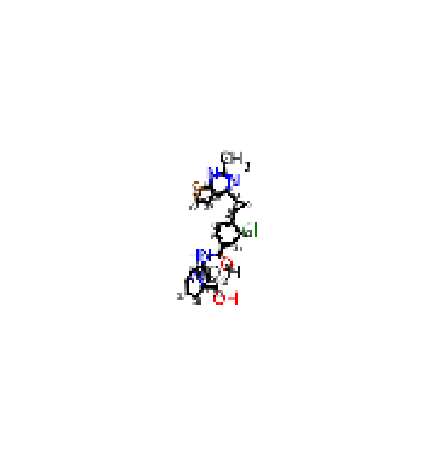 Cc1nc(C2CC2c2ccc(C(=O)NC3CC4CCC(CO)(C3)N4C(=O)O)cc2Cl)c2ccsc2n1